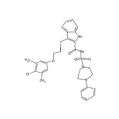 Cc1cc(OCCCc2c(C(=O)NS(=O)(=O)N3CCN(c4ccccc4)CC3)[nH]c3ccccc23)cc(C)c1Cl